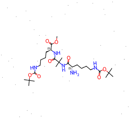 COC(=O)[C@H](CCCCNC(=O)OC(C)(C)C)NC(=O)C(C)(C)NC(=O)[C@@H](N)CCCCNC(=O)OC(C)(C)C